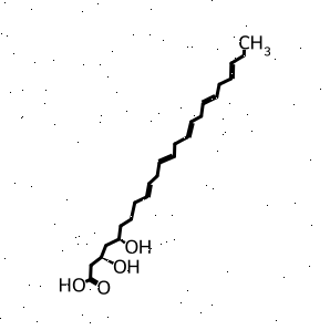 CCC=CCC=CCC=CCC=CCC=CCCC[C@@H](O)C[C@@H](O)CC(=O)O